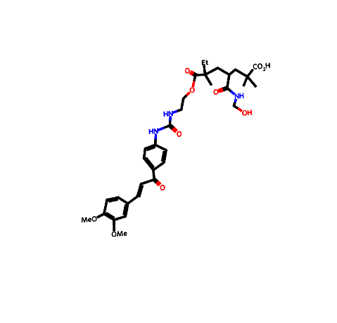 CCC(C)(CC(CC(C)(C)C(=O)O)C(=O)NCO)C(=O)OCCNC(=O)Nc1ccc(C(=O)/C=C/c2ccc(OC)c(OC)c2)cc1